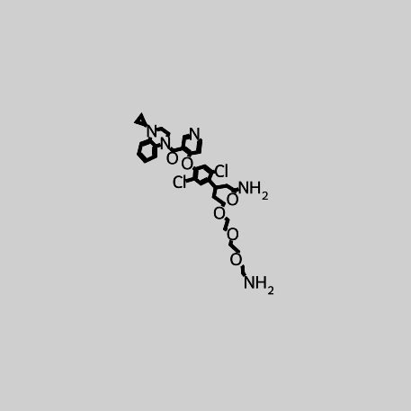 NCCOCCOCCOCCC(CC(N)=O)c1cc(Cl)c(Oc2ccncc2C(=O)N2CCN(C3CC3)c3ccccc32)cc1Cl